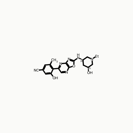 CCN1C[C@@H](O)C[C@@H](Nc2nc3nc(-c4c(C)cc(C#N)cc4O)cnc3o2)C1